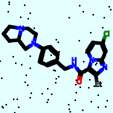 CCc1nc2cc(Cl)ccn2c1C(=O)NCc1ccc(N2CCN3CCCC3C2)cc1